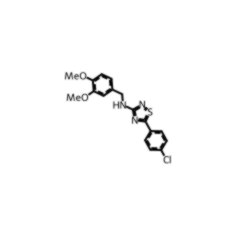 COc1ccc(CNc2nsc(-c3ccc(Cl)cc3)n2)cc1OC